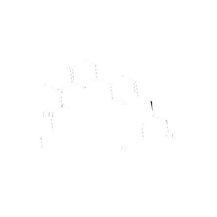 CCCNC(=O)N(C)c1cccc(-c2ccc(C[C@H](OCC)C(=O)O)cc2)c1